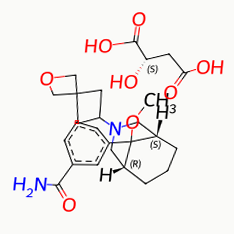 COC1(c2cccc(C(N)=O)c2)[C@@H]2CCC[C@H]1CN(C1CC3(COC3)C1)C2.O=C(O)C[C@H](O)C(=O)O